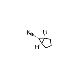 N#C[C@@H]1[C@H]2CCC[C@@H]12